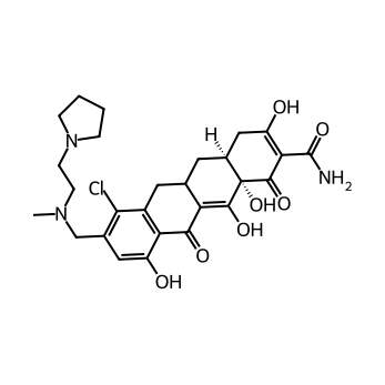 CN(CCN1CCCC1)Cc1cc(O)c2c(c1Cl)CC1C[C@H]3CC(O)=C(C(N)=O)C(=O)[C@@]3(O)C(O)=C1C2=O